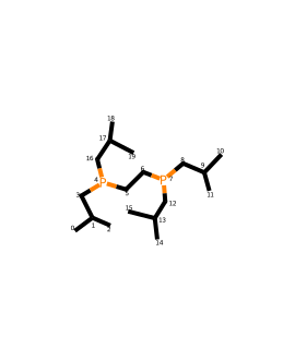 CC(C)CP(CCP(CC(C)C)CC(C)C)CC(C)C